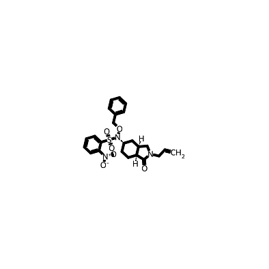 C=CCN1C[C@@H]2C[C@@H](N(OCc3ccccc3)S(=O)(=O)c3ccccc3[N+](=O)[O-])CC[C@@H]2C1=O